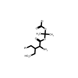 CCC(=O)OC(C)(C)OC(=O)C(N)C(CC(=O)O)CC(C)C